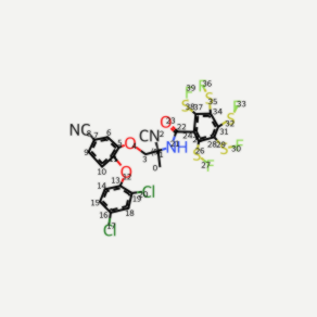 C[C@](C#N)(COc1cc(C#N)ccc1Oc1ccc(Cl)cc1Cl)NC(=O)c1c(SF)c(SF)c(SF)c(SF)c1SF